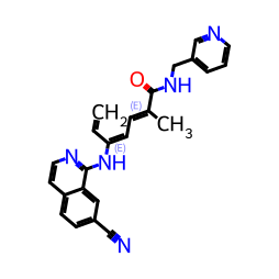 C=C/C(=C\C=C(/C)C(=O)NCc1cccnc1)Nc1nccc2ccc(C#N)cc12